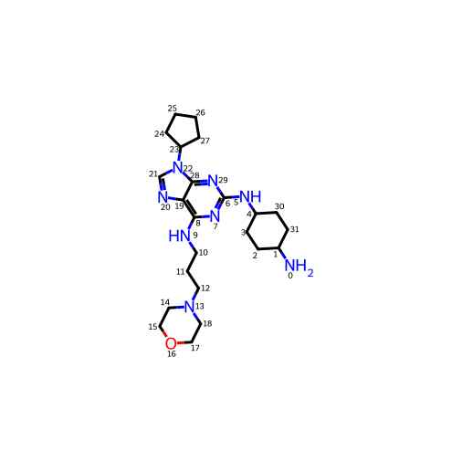 NC1CCC(Nc2nc(NCCCN3CCOCC3)c3ncn(C4CCCC4)c3n2)CC1